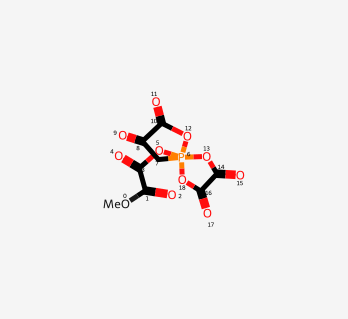 COC(=O)C(=O)OP12(CC(=O)C(=O)O1)OC(=O)C(=O)O2